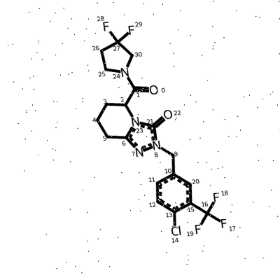 O=C(C1CCCc2nn(Cc3ccc(Cl)c(C(F)(F)F)c3)c(=O)n21)N1CCC(F)(F)C1